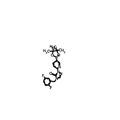 CC1(C)OB(c2ccc(-n3ncn(Cc4cc(F)ccc4F)c3=O)nc2)OC1(C)C